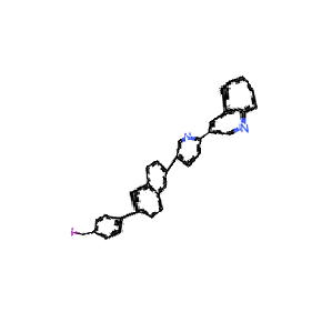 ICc1ccc(-c2ccc3cc(-c4ccc(-c5cnc6ccccc6c5)nc4)ccc3c2)cc1